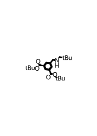 CC(C)(C)CNCc1cc(C(=O)OC(C)(C)C)cc(C(=O)OC(C)(C)C)c1